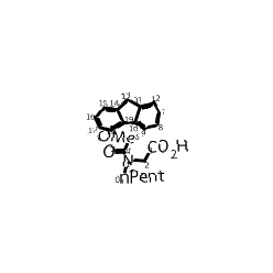 CCCCCN(CC(=O)O)C(=O)OC.c1ccc2c(c1)Cc1ccccc1-2